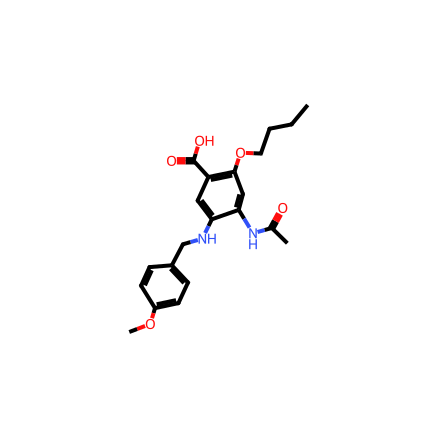 CCCCOc1cc(NC(C)=O)c(NCc2ccc(OC)cc2)cc1C(=O)O